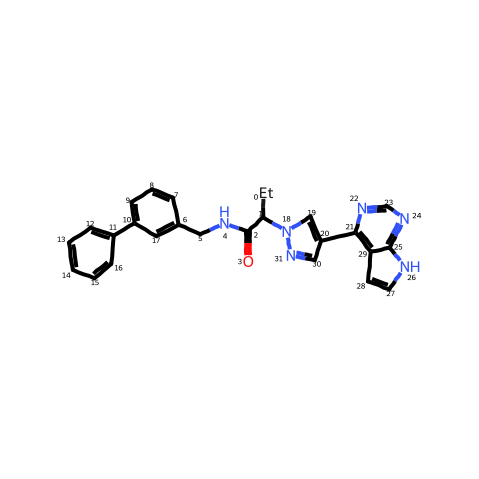 CCC(C(=O)NCc1cccc(-c2ccccc2)c1)n1cc(-c2ncnc3[nH]ccc23)cn1